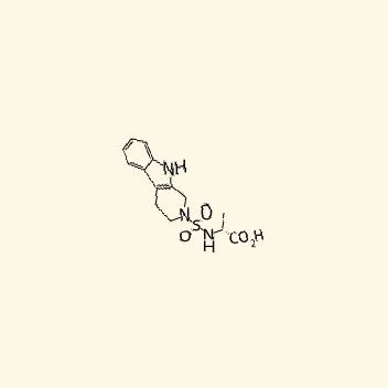 C[C@@H](NS(=O)(=O)N1CCc2c([nH]c3ccccc23)C1)C(=O)O